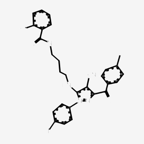 Cc1ccc(C(=O)c2nn(-c3ccc(Cl)cc3)c(NCCCCNC(=O)c3ccccc3Cl)c2C#N)cc1